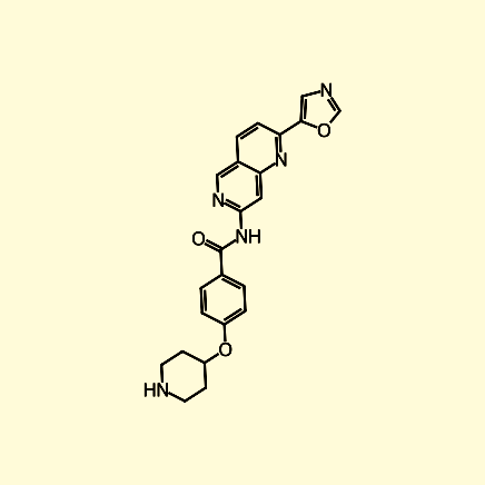 O=C(Nc1cc2nc(-c3cnco3)ccc2cn1)c1ccc(OC2CCNCC2)cc1